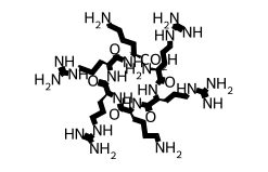 N=C(N)NCCC[C@H](NC(=O)[C@H](CCCNC(=N)N)NC(=O)[C@H](CCCCN)NC(=O)[C@H](CCCNC(=N)N)NC(=O)[C@@H](N)CCCNC(=N)N)C(=O)N[C@@H](CCCCN)C(=O)O